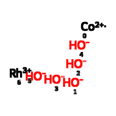 [Co+2].[OH-].[OH-].[OH-].[OH-].[OH-].[Rh+3]